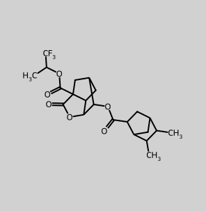 CC1C2CC(C(=O)OC3C4CC5C3OC(=O)C5(C(=O)OC(C)C(F)(F)F)C4)C(C2)C1C